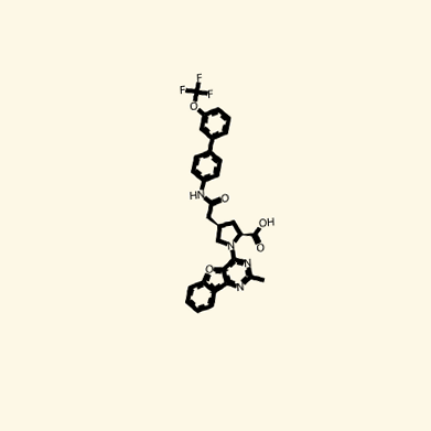 Cc1nc(N2C[C@@H](CC(=O)Nc3ccc(-c4cccc(OC(F)(F)F)c4)cc3)C[C@H]2C(=O)O)c2oc3ccccc3c2n1